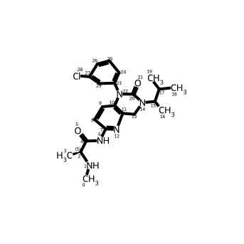 CN[C@@H](C)C(=O)Nc1ccc2c(n1)CN(C(C)C(C)C)C(=O)N2c1cccc(Cl)c1